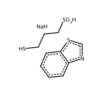 O=S(=O)(O)CCCS.[NaH].c1ccc2scnc2c1